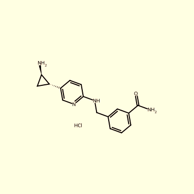 Cl.NC(=O)c1cccc(CNc2ccc([C@@H]3C[C@H]3N)cn2)c1